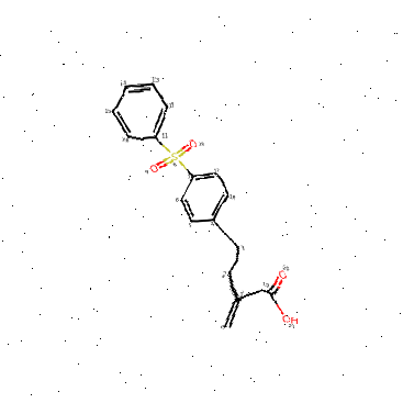 C=C(CCc1ccc(S(=O)(=O)c2ccccc2)cc1)C(=O)O